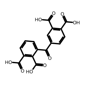 O=C(O)c1ccc(C(=O)c2cccc(C(=O)O)c2C(=O)O)cc1C(=O)O